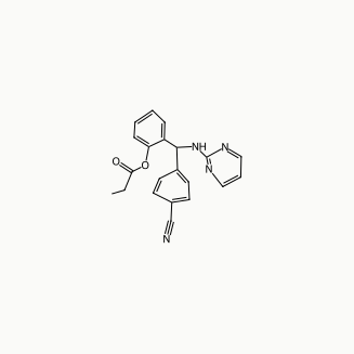 CCC(=O)Oc1ccccc1C(Nc1ncccn1)c1ccc(C#N)cc1